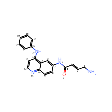 NCC=CC(=O)Nc1ccc2nccc(Nc3ccccc3)c2c1